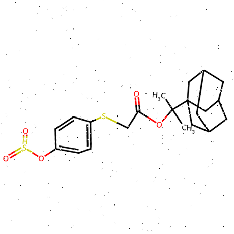 CC(C)(OC(=O)CSc1ccc(O[SH](=O)=O)cc1)C12CC3CC(CC(C3)C1)C2